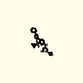 N=C/C(=C\NC1COC1)Nc1ccc(-c2cnc(C3CCCCC3)s2)c(S(=O)(=O)C2CC2)c1